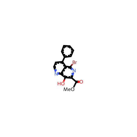 COC(=O)c1nc(Br)c2c(-c3ccccc3)ccnc2c1O